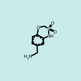 NCc1ccc2c(c1)NS(=O)(=O)CO2